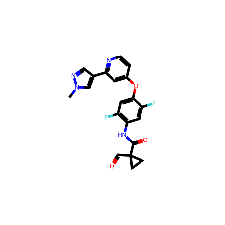 Cn1cc(-c2cc(Oc3cc(F)c(NC(=O)C4(C=O)CC4)cc3F)ccn2)cn1